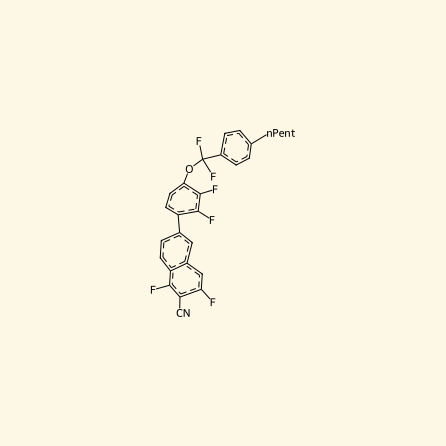 CCCCCc1ccc(C(F)(F)Oc2ccc(-c3ccc4c(F)c(C#N)c(F)cc4c3)c(F)c2F)cc1